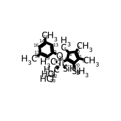 CC1=C(C)C(C)[C]([Ti]([CH3])([CH3])([SiH3])[O]c2cc(C)cc(C)c2)=C1[SiH3].Cl.Cl